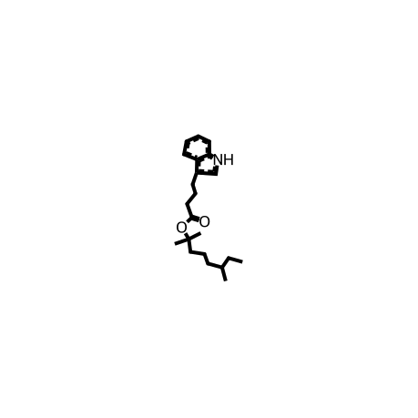 CCC(C)CCCC(C)(C)OC(=O)CCCc1c[nH]c2ccccc12